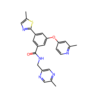 Cc1cnc(CNC(=O)c2cc(Oc3ccnc(C)c3)cc(-c3ncc(C)s3)c2)cn1